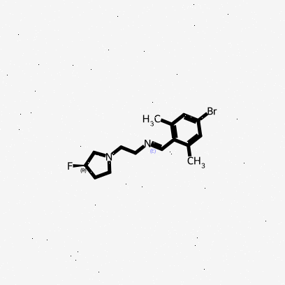 Cc1cc(Br)cc(C)c1/C=N/CCN1CC[C@@H](F)C1